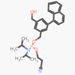 CC(C)N(C(C)C)[P@](OCCC#N)OCc1cc(CO)cc(-c2cccc3ccccc23)c1